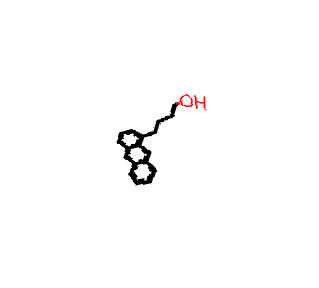 OCCCCc1cccc2cc3ccccc3cc12